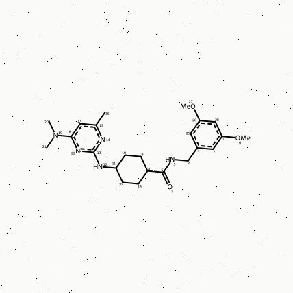 COc1cc(CNC(=O)C2CCC(Nc3nc(C)cc(N(C)C)n3)CC2)cc(OC)c1